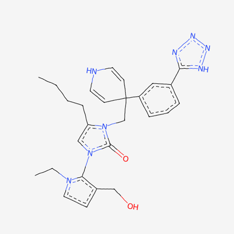 CCCCc1cn(-c2c(CO)ccn2CC)c(=O)n1CC1(c2cccc(-c3nnn[nH]3)c2)C=CNC=C1